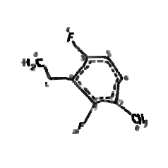 [CH2]Cc1c(F)ccc(C)c1F